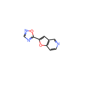 c1cc2oc(-c3ncno3)cc2cn1